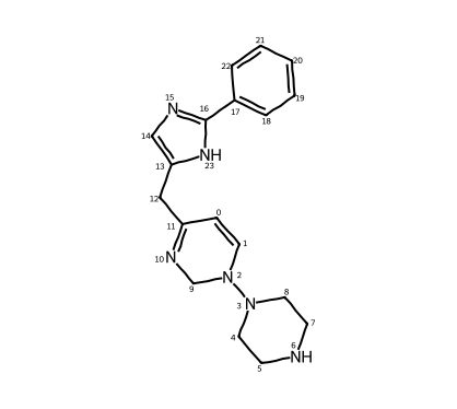 C1=CN(N2CCNCC2)CN=C1Cc1cnc(-c2ccccc2)[nH]1